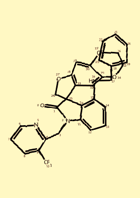 O=C1N(Cc2ncccc2C(F)(F)F)c2cccc(NCc3ccccc3)c2C12COc1cc3c(cc12)OCCO3